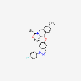 Cc1ccc2c(c1)CN(C(=O)C(C)(C)C)[C@@H](C)[C@@H]2Oc1ccc2c(cnn2-c2ccc(F)cc2)c1